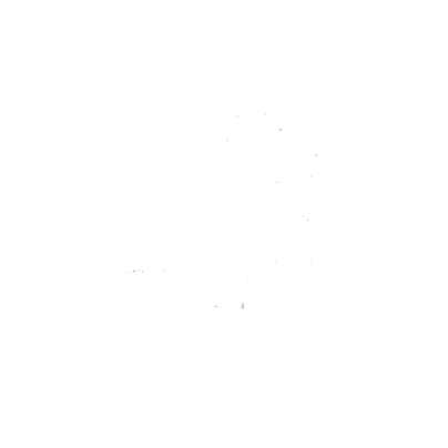 CNC(=O)COC(=O)NCCC1CCN(Cc2ccc3ccccc3c2)CC1